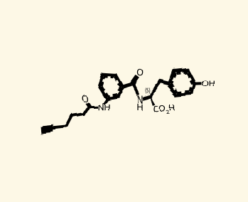 C#CCCCC(=O)Nc1cccc(C(=O)N[C@@H](Cc2ccc(O)cc2)C(=O)O)c1